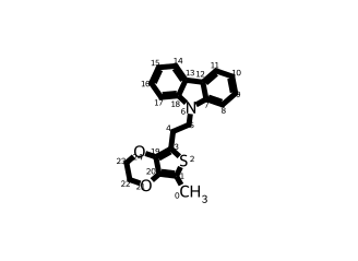 Cc1sc(CCn2c3ccccc3c3ccccc32)c2c1OCCO2